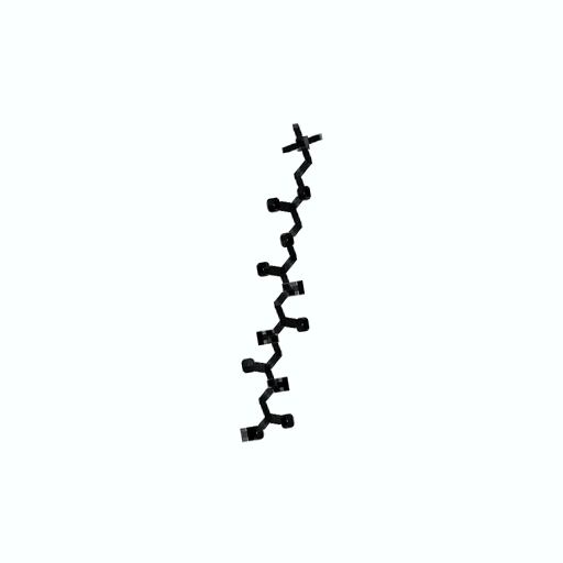 C[Si](C)(C)CCOC(=O)COCC(=O)NCC(=O)NCC(=O)NCC(=O)O